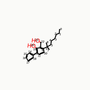 CCCCCCC(C)(C)c1ccc(-c2ccccc2)c(O)c1CO